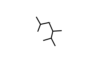 CC(C)[CH]C(C)C(C)C